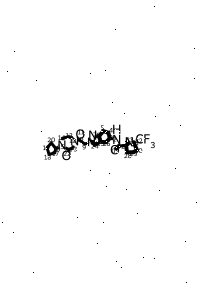 O=C(Nc1ccc2nn(CC(=O)N3CCN(C4CCCC4)C(=O)C3)cc2c1)c1cccc(C(F)(F)F)n1